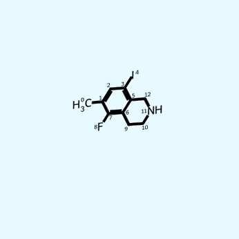 Cc1cc(I)c2c(c1F)CCNC2